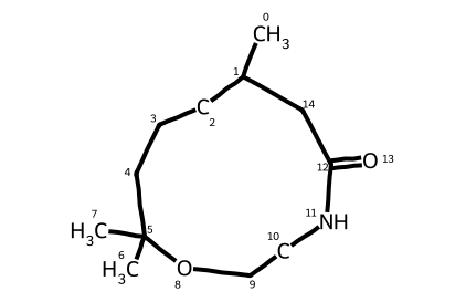 CC1CCCC(C)(C)OCCNC(=O)C1